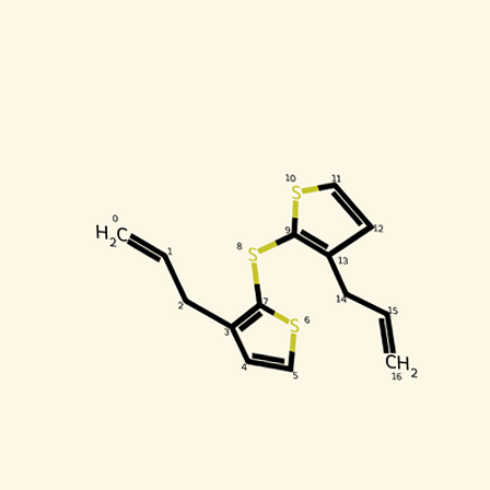 C=CCc1ccsc1Sc1sccc1CC=C